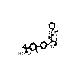 CC[C@]1(OC(=O)Nc2c(Cl)cnn2-c2ccc(-c3ccc(C4(C(=O)O)CC4)cc3C)cc2)C=CC=CC1